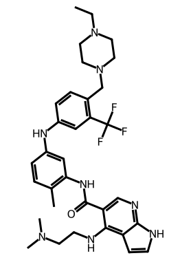 CCN1CCN(Cc2ccc(Nc3ccc(C)c(NC(=O)c4cnc5[nH]ccc5c4NCCN(C)C)c3)cc2C(F)(F)F)CC1